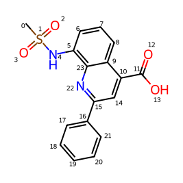 CS(=O)(=O)Nc1cccc2c(C(=O)O)cc(-c3ccccc3)nc12